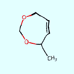 CC1C=CCOCO1